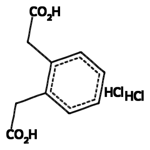 Cl.Cl.O=C(O)Cc1ccccc1CC(=O)O